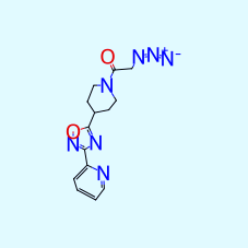 [N-]=[N+]=NCC(=O)N1CCC(c2nc(-c3ccccn3)no2)CC1